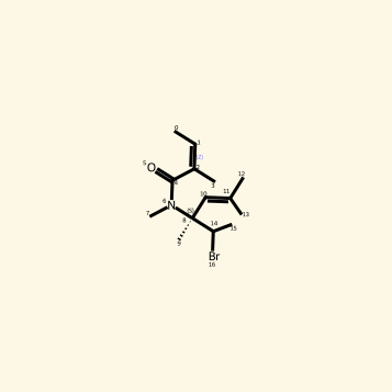 C/C=C(/C)C(=O)N(C)[C@@](C)(C=C(C)C)C(C)Br